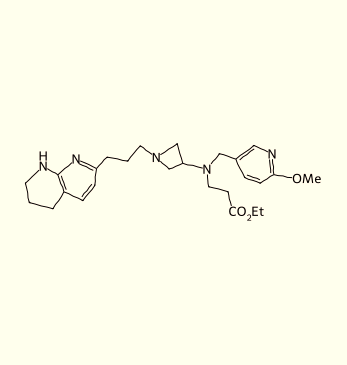 CCOC(=O)CCN(Cc1ccc(OC)nc1)C1CN(CCCc2ccc3c(n2)NCCC3)C1